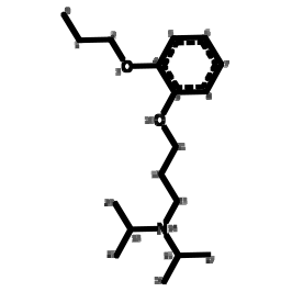 CCCOc1ccccc1OCCCN(C(C)C)C(C)C